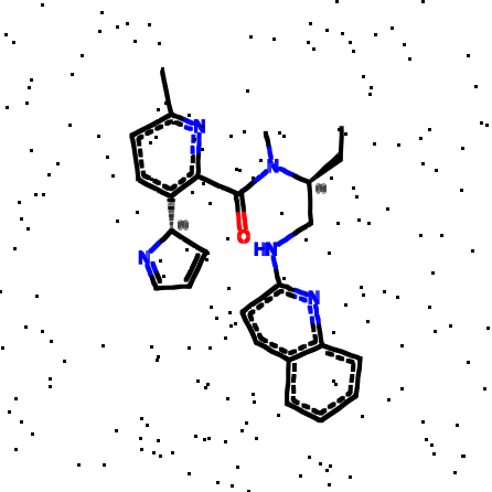 CC[C@@H](CNc1ccc2ccccc2n1)N(C)C(=O)c1nc(C)ccc1[C@@H]1C=CC=N1